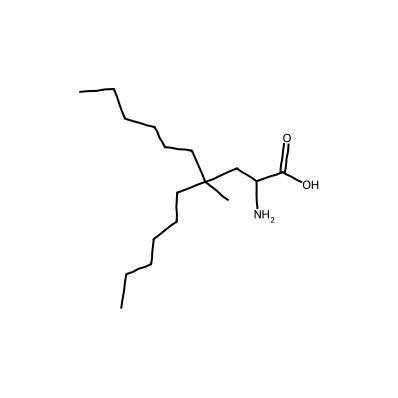 CCCCCCC(C)(CCCCCC)CC(N)C(=O)O